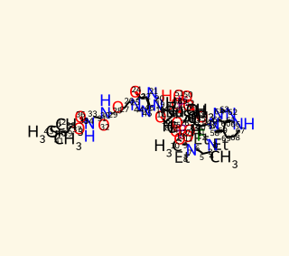 CCN(CC)C(C)CCN(CC)C(C)OP1(=O)OC[C@H]2O[C@@H](n3cnc4c(=O)n(CCOCNC(=O)CNC(=O)OCC[Si](C)(C)C)cnc43)[C@H](OP(=O)(O)OC[C@H]3O[C@@H](n4cc5c6c(ncnc64)NCCC5)[C@H](F)[C@@H]3O1)[C@@H]2OC[Si](C)(C)C(C)(C)C